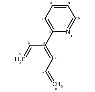 C=CC=C(C=C)c1ccccn1